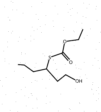 CCCC(CCO)SC(=O)OCC